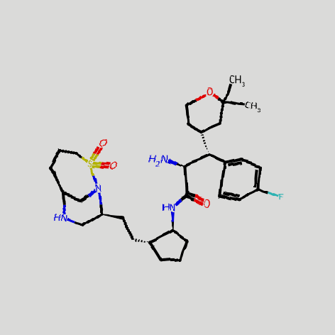 CC1(C)CC([C@H](c2ccc(F)cc2)[C@H](N)C(=O)N[C@H]2CCC[C@@H]2CC[C@H]2CNC3CCCS(=O)(=O)N2C3)CCO1